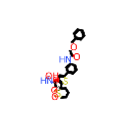 O=C(C[C@]1(c2ccc(-c3cccc(NC(=O)COCc4ccccc4)c3)s2)CCCCS1(=O)=O)NO